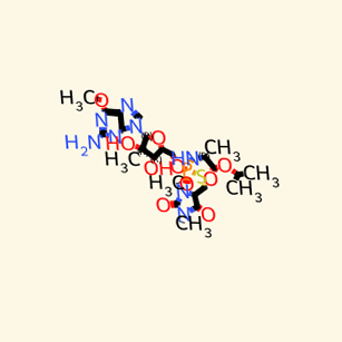 COc1nc(N)nc2c1ncn2[C@@H]1OC(COP(=O)(N[C@H](C)C(=O)OC(C)C)SCC2C(=O)N(C)C(=O)N2C)[C@@H](O)[C@@]1(C)O